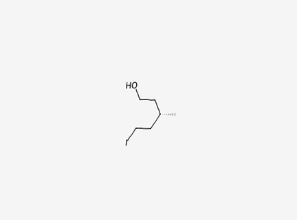 C[C@@H](CCO)CCI